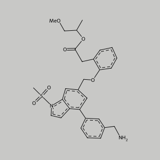 COCC(C)OC(=O)Cc1ccccc1OCc1cc(-c2cccc(CN)c2)c2ccn(S(C)(=O)=O)c2c1